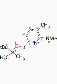 CNc1nc(CO[Si](C)(C)C(C)(C)C)ccc1C